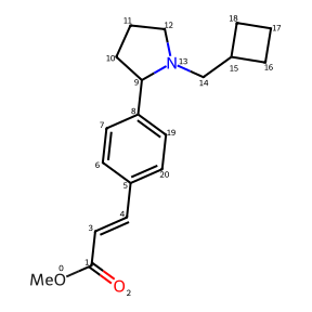 COC(=O)C=Cc1ccc(C2CCCN2CC2CCC2)cc1